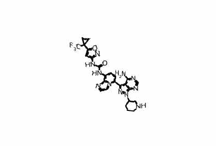 Nc1ncnc2c1c(-c1ccc(NC(=O)Nc3cc(C4(C(F)(F)F)CC4)on3)c3nccn13)nn2C1CCCNC1